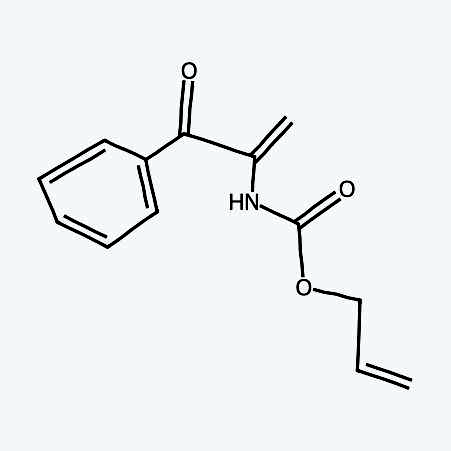 C=CCOC(=O)NC(=C)C(=O)c1ccccc1